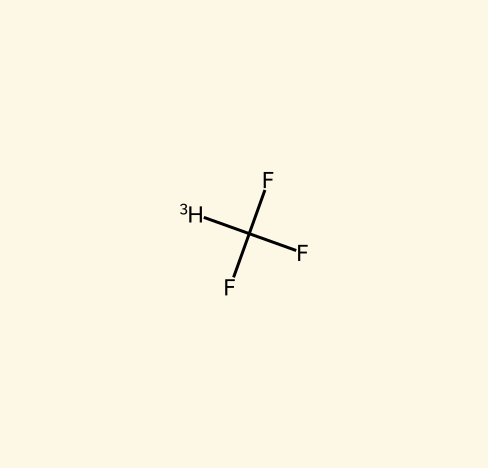 [3H]C(F)(F)F